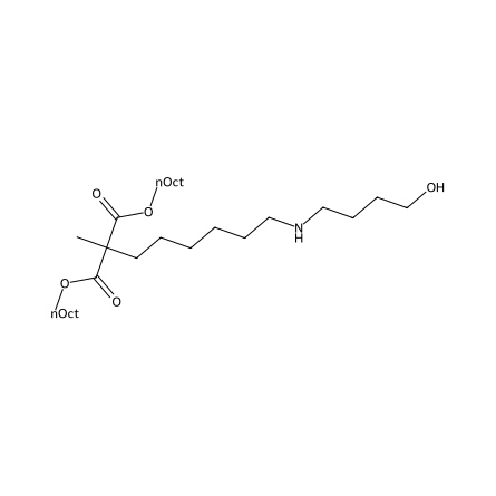 CCCCCCCCOC(=O)C(C)(CCCCCCNCCCCO)C(=O)OCCCCCCCC